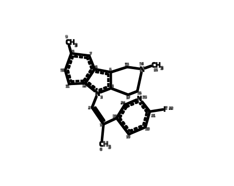 C/C(=C/n1c2c(c3cc(C)ccc31)CN(C)CC2)c1ccc(F)nc1